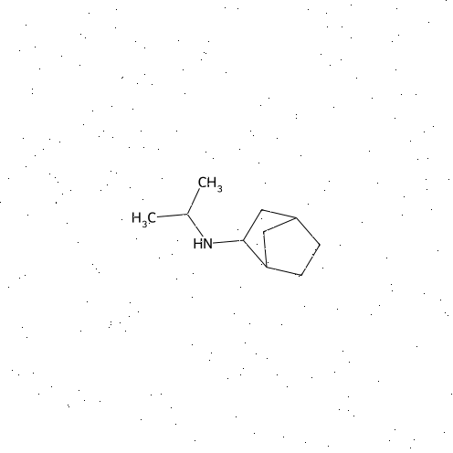 CC(C)NC1CC2CCC1C2